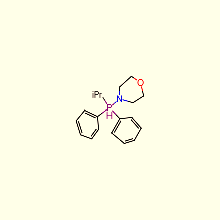 CC(C)[PH](c1ccccc1)(c1ccccc1)N1CCOCC1